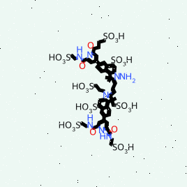 CC1(CS(=O)(=O)O)C(/C=C/C=C2/N(N)c3cc(S(=O)(=O)O)c4cc(-c5cc(C(=O)CCCS(=O)(=O)O)nc(C(=O)NCCS(=O)(=O)O)c5)ccc4c3C2(C)C)=[N+](CCCS(=O)(=O)O)c2cc(S(=O)(=O)O)c3cc(-c4cc(C(=O)NCCS(=O)(=O)O)nc(C(=O)NCCS(=O)(=O)O)c4)ccc3c21